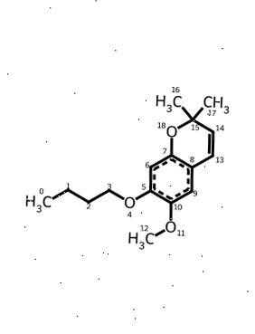 CCCCOc1cc2c(cc1OC)C=CC(C)(C)O2